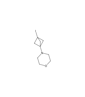 IC12CC(N3CCOCC3)(C1)C2